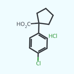 Cl.O=C(O)C1(c2ccc(Cl)cc2)CCCC1